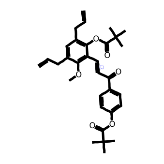 C=CCc1cc(CC=C)c(OC(=O)C(C)(C)C)c(/C=C/C(=O)c2ccc(OC(=O)C(C)(C)C)cc2)c1OC